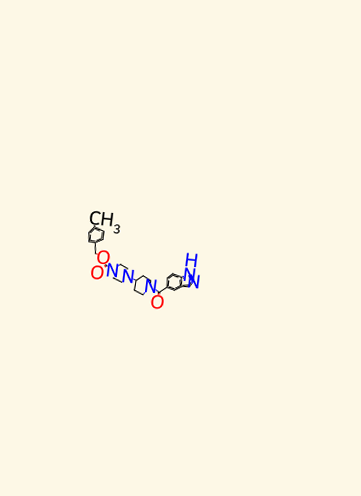 Cc1ccc(COC(=O)N2CCN(C3CCN(C(=O)c4ccc5[nH]ncc5c4)CC3)CC2)cc1